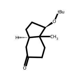 CC(C)(C)O[C@@H]1CC[C@@H]2CC(=O)CCC21C